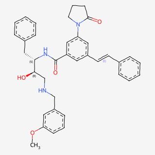 COc1cccc(CNC[C@@H](O)[C@H](Cc2ccccc2)NC(=O)c2cc(/C=C/c3ccccc3)cc(N3CCCC3=O)c2)c1